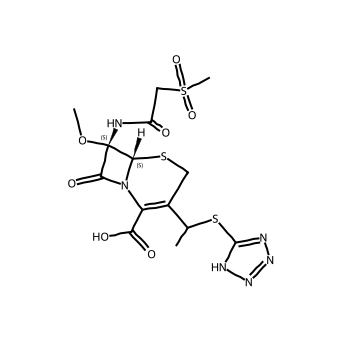 CO[C@@]1(NC(=O)CS(C)(=O)=O)C(=O)N2C(C(=O)O)=C(C(C)Sc3nnn[nH]3)CS[C@H]21